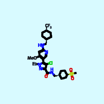 CCn1nc(C(=O)NC[C@H]2CC[C@H](S(C)(=O)=O)CC2)c(Cl)c1-c1cnc(NC[C@H]2CC[C@@H](C(F)(F)F)CC2)cc1OC